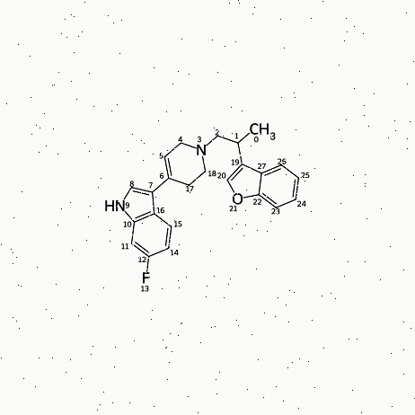 CC(CN1CC=C(c2c[nH]c3cc(F)ccc23)CC1)c1coc2ccccc12